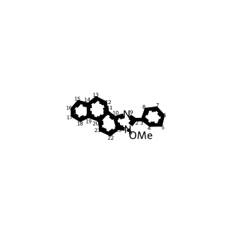 COn1c(-c2ccccc2)nc2c3ccc4ccccc4c3ccc21